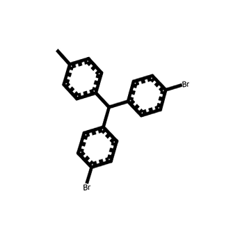 Cc1ccc(C(c2ccc(Br)cc2)c2ccc(Br)cc2)cc1